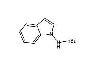 CCCCNn1[c]cc2ccccc21